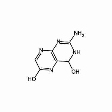 NC1=Nc2ncc(O)nc2C(O)N1